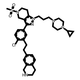 CS(=O)(=O)N1CCc2c(c(-c3ccc(Cl)c(CCc4ccc5c(c4)CNCC5)c3)nn2CCCN2CCN(C3CC3)CC2)C1